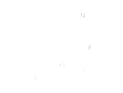 N#C[C](CC1CSC1)C(F)(F)Cl